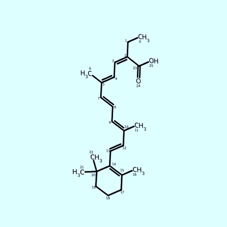 CCC(=CC=C(C)C=CC=C(C)C=CC1=C(C)CCCC1(C)C)C(=O)O